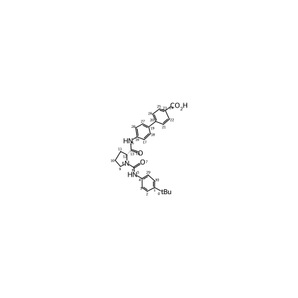 CC(C)(C)c1ccc(NC(=O)N2CCC[C@@H]2C(=O)Nc2ccc(-c3ccc(C(=O)O)cc3)cc2)cc1